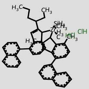 CCCC(CC)C1=Cc2c(-c3cccc4ccccc34)cccc2[CH]1[Zr]([CH3])([CH3])(=[SiH2])[CH]1C(C)=Cc2c(-c3cccc4ccccc34)ccc(C)c21.Cl.Cl